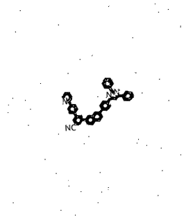 N#Cc1cc(-c2ccc(-c3ccccn3)cc2)cc(-c2ccc3ccc(-c4ccc(-c5cc(-c6ccccc6)nc(-c6ccccc6)n5)cc4)cc3c2)c1